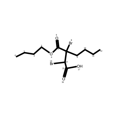 CCCCOC(=O)C(Br)(CCCC)C(Br)C(=O)O